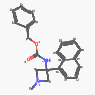 CN1CC(NC(=O)OCc2ccccc2)(c2cccc3ccccc23)C1